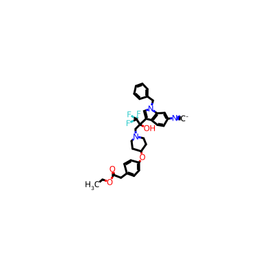 [C-]#[N+]c1ccc2c(C(O)(CN3CCC(Oc4ccc(CC(=O)OCC)cc4)CC3)C(F)(F)F)cn(Cc3ccccc3)c2c1